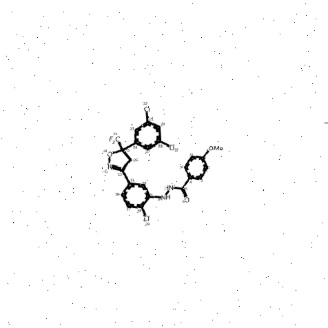 COc1ccc(C(=O)NNc2cc(C3=NOC(c4cc(Cl)cc(Cl)c4)(C(F)(F)F)C3)ccc2Cl)cc1